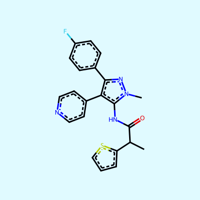 CC(C(=O)Nc1c(-c2ccncc2)c(-c2ccc(F)cc2)nn1C)c1cccs1